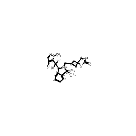 [2H]C([2H])(c1c(Cl)cnn1C)C1c2ccccc2C(C)(C)N1CC1CC2(CNC(=O)O2)C1